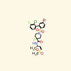 C[C@H](/C=C\S(C)(=O)=O)NC(=O)C1(F)CCN(S(=O)(=O)c2ccc(Br)cc2-c2cccc(F)c2Cl)CC1